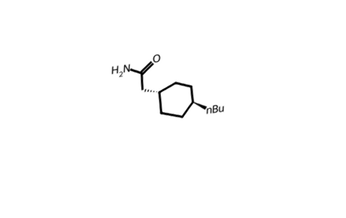 CCCC[C@H]1CC[C@H](CC(N)=O)CC1